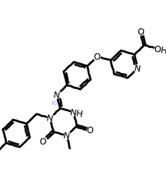 Cc1ccc(Cn2c(=O)n(C)c(=O)[nH]/c2=N\c2ccc(Oc3ccnc(C(=O)O)c3)cc2)cc1